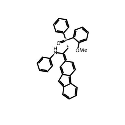 COc1ccccc1[P@](=O)(CC(Nc1ccccc1)=c1ccc2c(c1)C=c1ccccc1=2)c1ccccc1